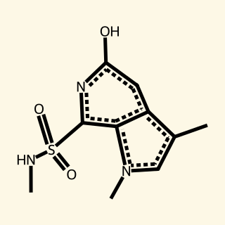 CNS(=O)(=O)c1nc(O)cc2c(C)cn(C)c12